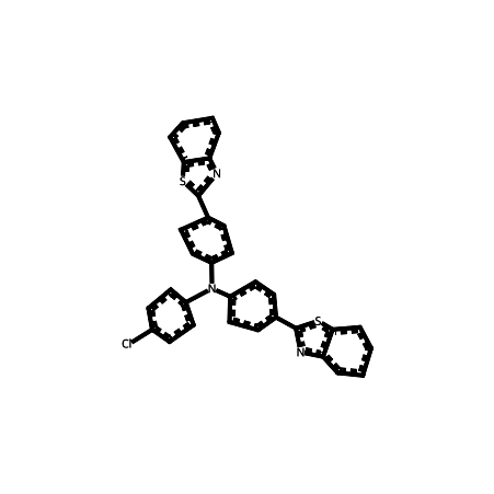 Clc1ccc(N(c2ccc(-c3nc4ccccc4s3)cc2)c2ccc(-c3nc4ccccc4s3)cc2)cc1